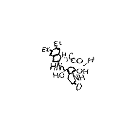 CC(=O)O.CCc1cc2c(cc1CC)CC(NCC(O)c1ccc(O)c3c1CCC(=O)N3)C2